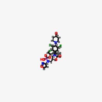 C=C(CCCCCCC)OP(=O)(O)N(CC1CN(c2cc(F)c(N3C=CC(=O)CC3)c(F)c2F)C(=O)O1)c1ccon1